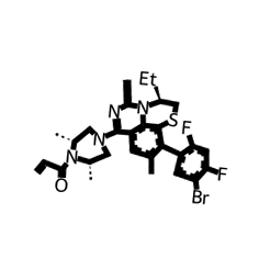 C=CC(=O)N1[C@H](C)CN(C2=NC(=C)N3c4c2cc(C)c(-c2cc(Br)c(F)cc2F)c4SC[C@@H]3CC)C[C@@H]1C